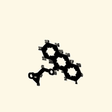 c1ccc2c(OCC3CO3)c3ccccc3cc2c1